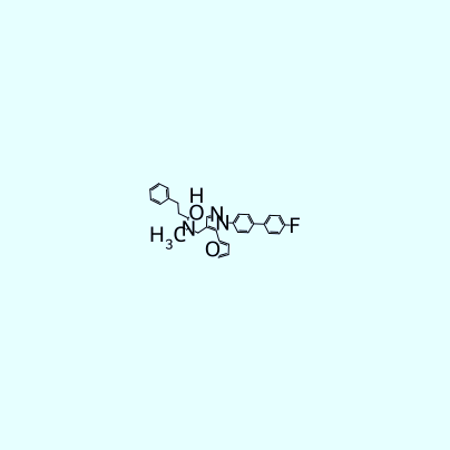 CN(Cc1cnn(-c2ccc(-c3ccc(F)cc3)cc2)c1-c1ccco1)C(O)CCc1ccccc1